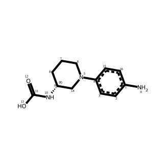 Nc1ccc(N2CCC[C@@H](NC(=O)O)C2)cc1